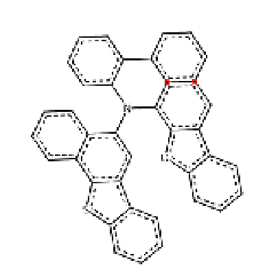 c1ccc(-c2ccccc2N(c2cc3c4ccccc4sc3c3ccccc23)c2cccc3c2oc2ccccc23)cc1